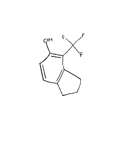 Oc1ccc2c(c1C(F)(F)F)CCC2